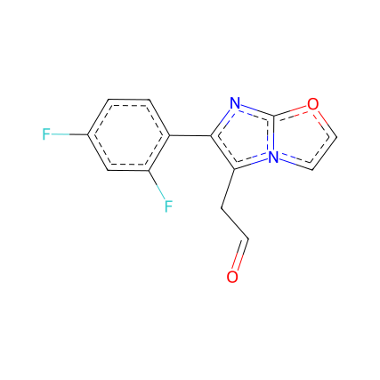 O=CCc1c(-c2ccc(F)cc2F)nc2occn12